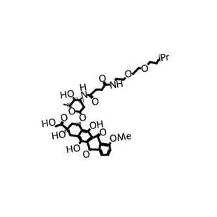 COc1cccc2c1C(=O)c1c(O)c3c(c(O)c1C2=O)C[C@@](O)(C(=O)CO)C[C@@H]3OC1C[C@H](NC(=O)CCC(=O)NCCOCCOCCC(C)C)[C@H](O)[C@H](C)O1